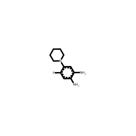 Nc1cc(F)c(N2CCCCC2)cc1N